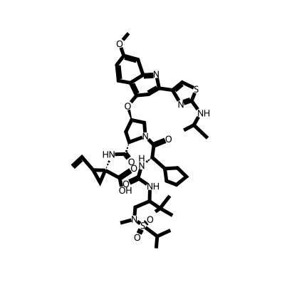 C=CC1C[C@]1(NC(=O)[C@@H]1C[C@@H](Oc2cc(-c3csc(NC(C)C)n3)nc3cc(OC)ccc23)CN1C(=O)[C@@H](NC(=O)NC(CN(C)S(=O)(=O)C(C)C)C(C)(C)C)C1CCCC1)C(=O)O